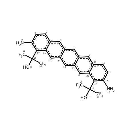 Nc1ccc2cc3cc4cc5ccc(N)c(C(O)(C(F)(F)F)C(F)(F)F)c5cc4cc3cc2c1C(O)(C(F)(F)F)C(F)(F)F